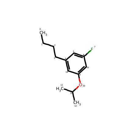 CCCCc1cc(F)cc(OC(C)C)c1